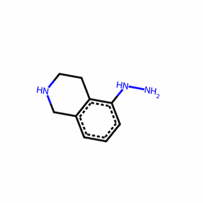 NNc1cccc2c1CCNC2